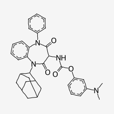 CN(C)c1cccc(OC(=O)NC2C(=O)N(c3ccccc3)c3ccccc3N(C3C4CC5CC(C4)CC3C5)C2=O)c1